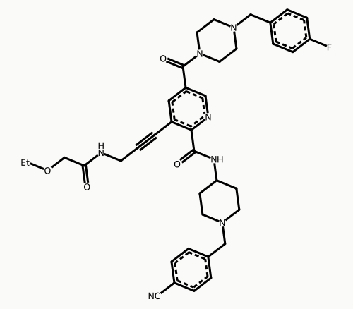 CCOCC(=O)NCC#Cc1cc(C(=O)N2CCN(Cc3ccc(F)cc3)CC2)cnc1C(=O)NC1CCN(Cc2ccc(C#N)cc2)CC1